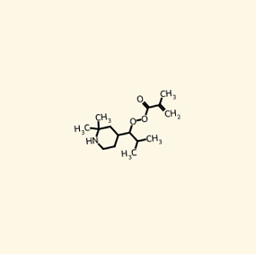 C=C(C)C(=O)OOC(C(C)C)C1CCNC(C)(C)C1